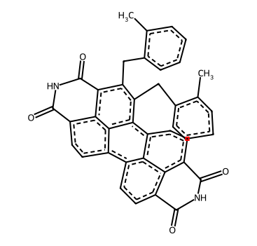 Cc1ccccc1Cc1c2c3c(ccc4c5ccc6c7c(ccc(c(c1Cc1ccccc1C)c34)c75)C(=O)NC6=O)C(=O)NC2=O